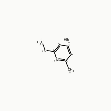 Br.COc1cccc(C)n1